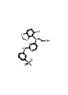 CS(=O)(=O)c1cccc(Nc2nccc(N(CCO)c3c(Cl)ccc4c3OCO4)n2)c1